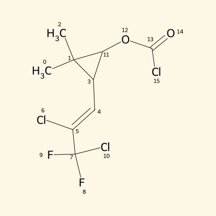 CC1(C)C(C=C(Cl)C(F)(F)Cl)C1OC(=O)Cl